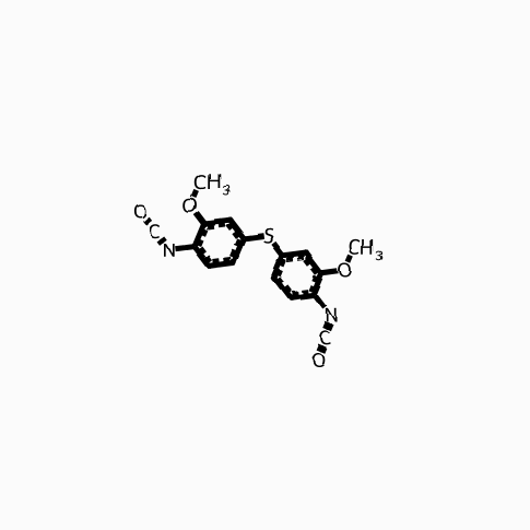 COc1cc(Sc2ccc(N=C=O)c(OC)c2)ccc1N=C=O